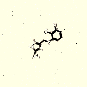 Cc1nc(CSc2cccc(Cl)c2Cl)no1